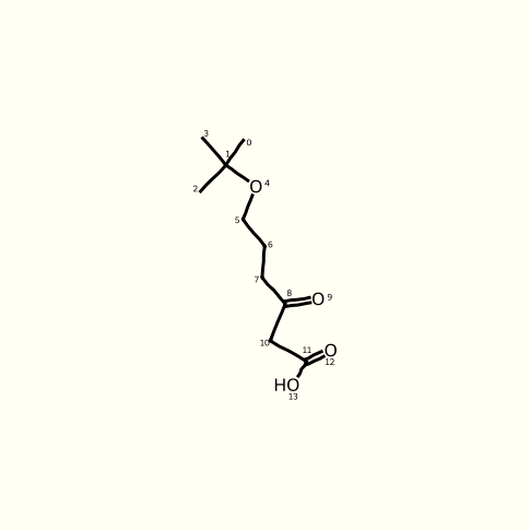 CC(C)(C)OCCCC(=O)CC(=O)O